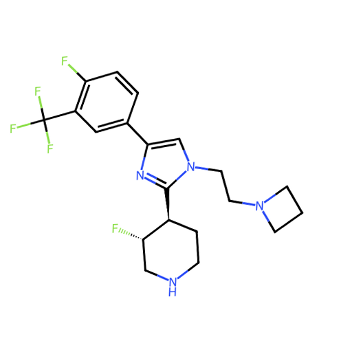 Fc1ccc(-c2cn(CCN3CCC3)c([C@H]3CCNC[C@@H]3F)n2)cc1C(F)(F)F